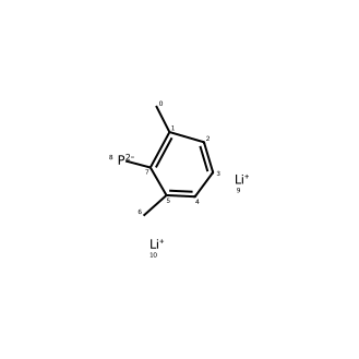 Cc1cccc(C)c1[P-2].[Li+].[Li+]